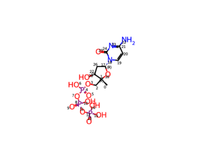 C[C@]1(COP(=O)(O)OP(=O)(O)OP(=O)(O)O)O[C@@H](n2ccc(N)nc2=O)C[C@@H]1O